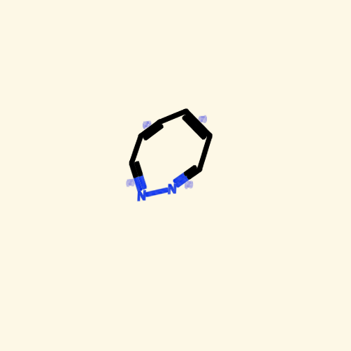 C1=C\C=N/N=C\C=C/1